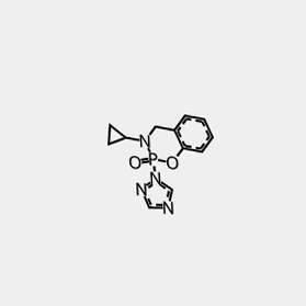 O=P1(n2cncn2)Oc2ccccc2CN1C1CC1